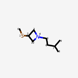 CSC1CN(CCC(C)C)C1